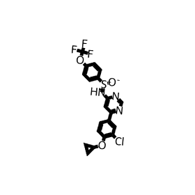 [O-][S+](Nc1cc(-c2ccc(OC3CC3)c(Cl)c2)ncn1)c1ccc(OC(F)(F)F)cc1